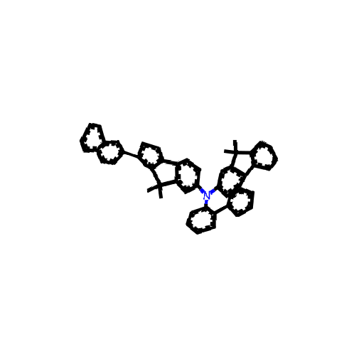 CC1(C)c2ccccc2-c2ccc(N(c3ccc4c(c3)C(C)(C)c3cc(-c5ccc6ccccc6c5)ccc3-4)c3ccccc3-c3ccccc3)cc21